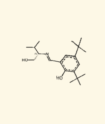 CC(C)[C@@H](CO)N=Cc1cc(C(C)(C)C)cc(C(C)(C)C)c1O